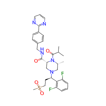 CC(C)C(=O)N1[C@H](C)CN([C@H](CCS(C)(=O)=O)c2c(F)cccc2F)C[C@@H]1C(=O)NCc1ccc(-c2ncccn2)cc1